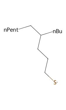 CCCCCCC(CCCC)CCC[S]